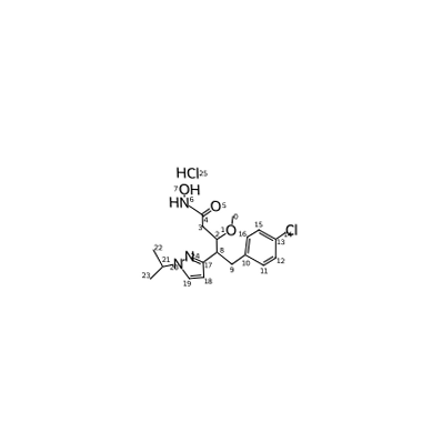 COC(CC(=O)NO)C(Cc1ccc(Cl)cc1)c1ccn(C(C)C)n1.Cl